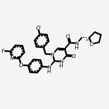 O=C(NC[C@@H]1CCCO1)C1=CN(Cc2ccc(Cl)cc2)C(Nc2ccc(Oc3cccc(F)n3)cc2)NC1=O